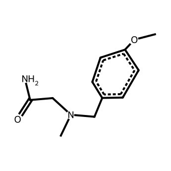 COc1ccc(CN(C)CC(N)=O)cc1